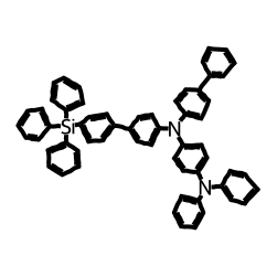 c1ccc(-c2ccc(N(c3ccc(-c4ccc([Si](c5ccccc5)(c5ccccc5)c5ccccc5)cc4)cc3)c3ccc(N(c4ccccc4)c4ccccc4)cc3)cc2)cc1